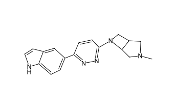 CN1CC2CN(c3ccc(-c4ccc5[nH]ccc5c4)nn3)C2C1